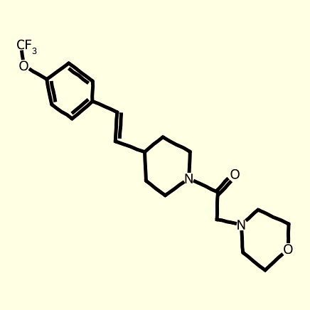 O=C(CN1CCOCC1)N1CCC(/C=C/c2ccc(OC(F)(F)F)cc2)CC1